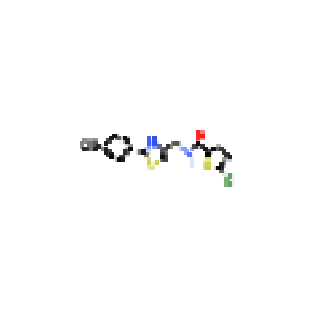 [C-]#[N+]c1ccc(-c2nc(CNC(=O)c3ccc(Cl)s3)cs2)cc1